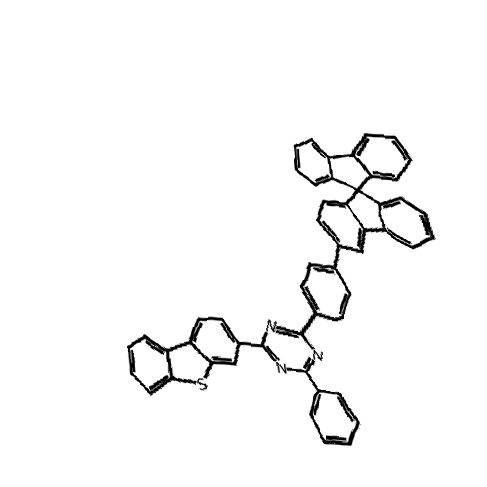 c1ccc(-c2nc(-c3ccc(-c4ccc5c(c4)-c4ccccc4C54c5ccccc5-c5ccccc54)cc3)nc(-c3ccc4c(c3)sc3ccccc34)n2)cc1